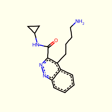 NCCCCc1c(C(=O)NC2CC2)nnc2ccccc12